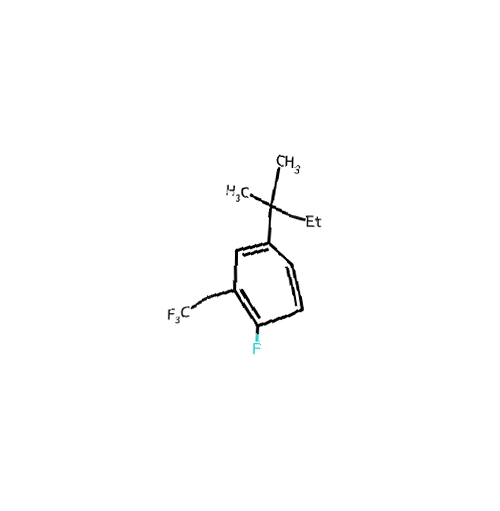 CCC(C)(C)c1ccc(F)c(C(F)(F)F)c1